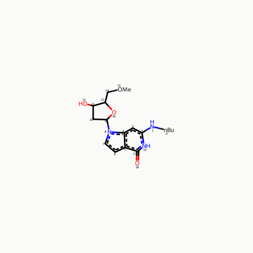 CCCCNc1cc2c(ccn2C2CC(O)C(COC)O2)c(=O)[nH]1